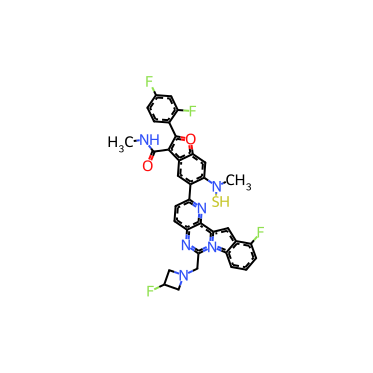 CNC(=O)c1c(-c2ccc(F)cc2F)oc2cc(N(C)S)c(-c3ccc4nc(CN5CC(F)C5)n5c6cccc(F)c6cc5c4n3)cc12